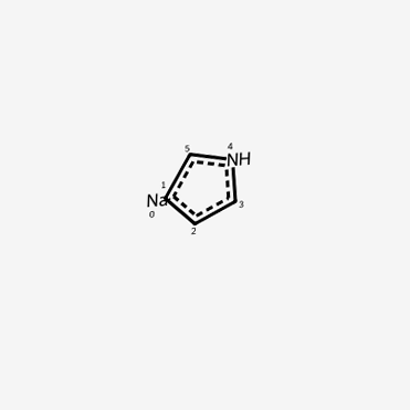 [Na].c1cc[nH]c1